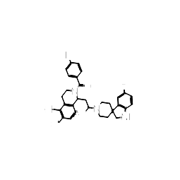 CC(=O)C(CC1c2ccc(Cl)c(Cl)c2CCN1C(=O)c1ccc(F)cc1)N1CCC2(CC1)CNc1ccc(F)cc12